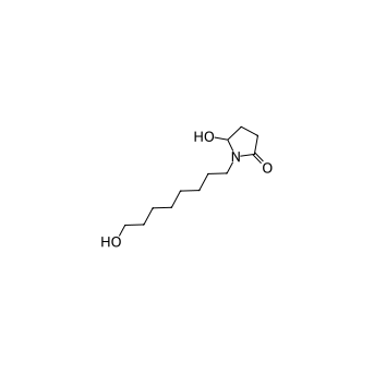 O=C1CCC(O)N1CCCCCCCCO